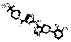 CC(C)(O)C1CCN(C(=O)c2coc(Nc3ncnc4c3CCN(c3cccc(C#N)c3C(F)(F)F)C4)n2)CC1